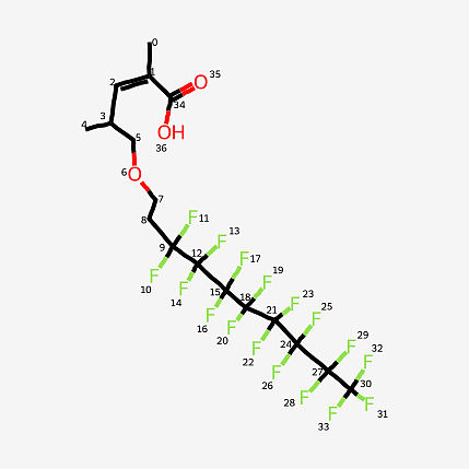 CC(=CC(C)COCCC(F)(F)C(F)(F)C(F)(F)C(F)(F)C(F)(F)C(F)(F)C(F)(F)C(F)(F)F)C(=O)O